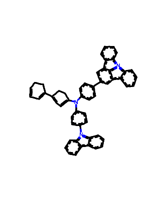 C1=CCCC(C2=CC=C(N(c3ccc(-c4cc5c6ccccc6n6c7ccccc7c(c4)c56)cc3)c3ccc(-n4c5ccccc5c5ccccc54)cc3)CC2)=C1